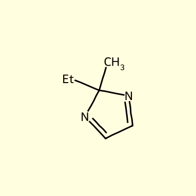 CCC1(C)N=CC=N1